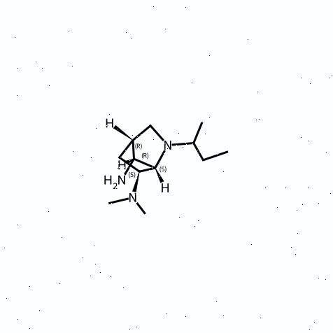 CCC(C)N1C[C@H]2C[C@H](N(C)C)[C@@H]1[C@@H]2N